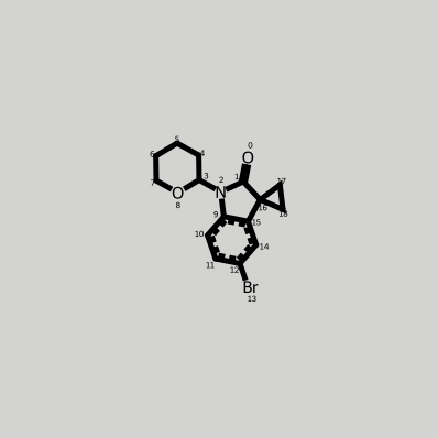 O=C1N(C2CCCCO2)c2ccc(Br)cc2C12CC2